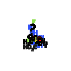 CC1(C)C(NC(=O)O)=N[C@](C)(c2nc(NCc3ccc(F)cn3)ccc2F)[C@@H]2CCN[SH]21=O